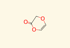 O=C1COC=CO1